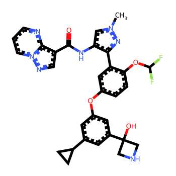 Cn1cc(NC(=O)c2cnn3cccnc23)c(-c2cc(Oc3cc(C4CC4)cc(C4(O)CNC4)c3)ccc2OC(F)F)n1